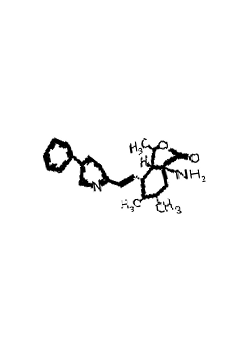 C[C@H]1[C@H](/C=C/c2ccc(-c3ccccc3)cn2)[C@@H]2[C@@H](C)OC(=O)[C@]2(N)C[C@@H]1C